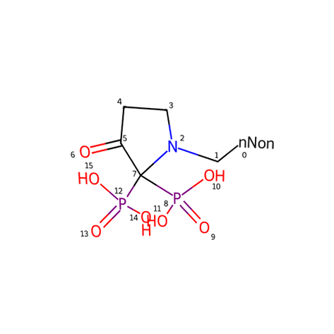 CCCCCCCCCCN1CCC(=O)C1(P(=O)(O)O)P(=O)(O)O